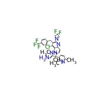 CN/C(=C\N)C(C)(c1ccc2nc(N3CC(F)(F)C3)c(Cc3ccc(C(F)(F)F)cc3)c(Cl)c2c1)c1ccc(C)nc1C